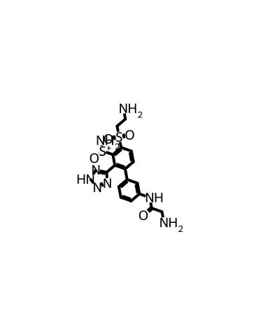 NCCS(=O)(=O)c1ccc(-c2cccc(NC(=O)CN)c2)c(-c2nn[nH]n2)c1[S+](N)[O-]